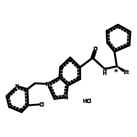 CC[C@@H](NC(=O)c1ccc2c(c1)ncn2Cc1ncccc1Cl)c1ccccc1.Cl